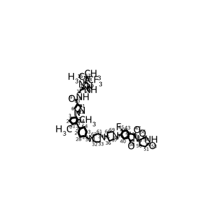 Cc1ccc(-n2cc(C(=O)NCc3nc(C(C)(C)C(F)(F)F)n[nH]3)cn2)c(C)c1-c1ccc(CN2CCN(C3CCN(c4cc5c(cc4F)C(=O)N(C4CCC(=O)NC4=O)C5=O)CC3)CC2)cc1